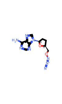 [N-]=[N+]=NOC[C@@H]1CC[C@H](n2cnc3c(N)ncnc32)O1